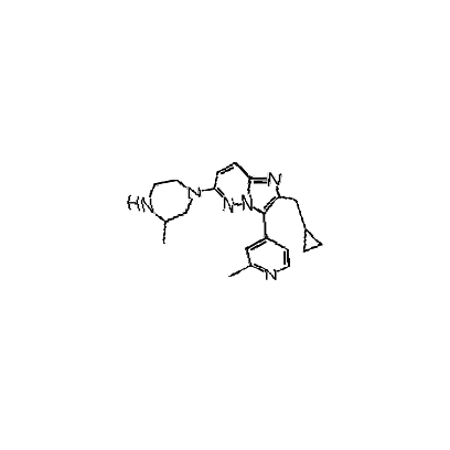 Cc1cc(-c2c(CC3CC3)nc3ccc(N4CCNC(C)C4)nn23)ccn1